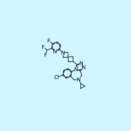 Fc1ccc(N2CC3(CC(c4nnc5n4-c4ccc(Cl)cc4CN(C4CC4)C5)C3)C2)nc1C(F)F